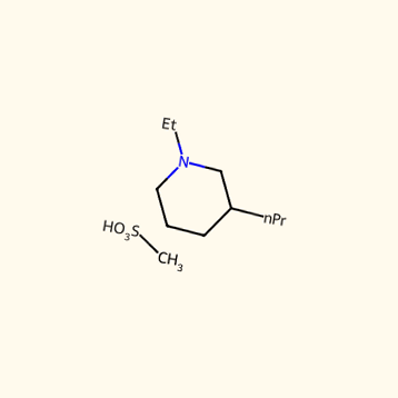 CCCC1CCCN(CC)C1.CS(=O)(=O)O